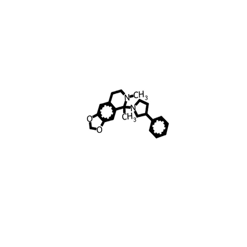 CN1CCc2cc3c(cc2C1(C)N1CCC(c2ccccc2)C1)OCO3